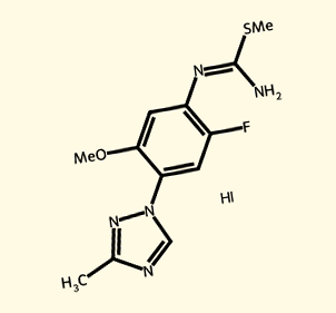 COc1cc(N=C(N)SC)c(F)cc1-n1cnc(C)n1.I